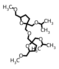 COCC1CCC(COCC2(COC(C)C)CCC(COC)O2)(COC(C)C)O1